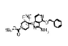 CC(C)(C)OC(=O)N1CC[C@](CC#N)(n2nc(N)c3c(OCc4ccccc4)nccc32)[C@@H](F)C1